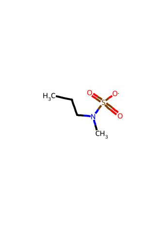 CCCN(C)S([O])(=O)=O